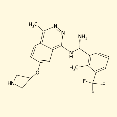 Cc1c([C@@H](N)Nc2nnc(C)c3ccc(OC4CNC4)cc23)cccc1C(F)(F)F